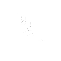 COC(=O)CC1CCN(C(=O)c2ccc(Cl)c(Cc3cc4c(F)cc(C5CC5)cc4n3C)c2Cl)CC1